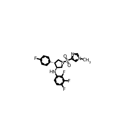 Cn1cnc(S(=O)(=O)N2C[C@@H](Nc3ccc(F)c(F)c3F)[C@H](c3ccc(F)cc3)C2)c1